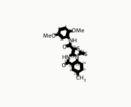 COc1ccc(OC)c(NC(=O)c2sc(=S)n3c2[nH]c(=O)c2cc(C)ccc23)c1